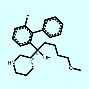 COCCCC[C@@](O)(c1cccc(F)c1-c1ccccc1)[C@@H]1CCCNC1